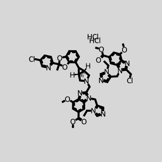 CCn1cncc1Cn1c(CCl)nc2c(OC)cc(C(=O)OC)cc21.CCn1cncc1Cn1c(CN2C[C@@H]3C(c4cccc5c4OC(C)(c4ccc(Cl)cn4)O5)[C@@H]3C2)nc2c(OC)cc(C(=O)OC)cc21.Cl.Cl